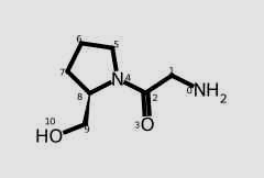 NCC(=O)N1CCC[C@@H]1CO